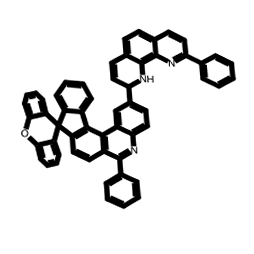 C1=CC(c2ccc3nc(-c4ccccc4)c4ccc5c(c4c3c2)-c2ccccc2C52c3ccccc3Oc3ccccc32)Nc2c1ccc1ccc(-c3ccccc3)nc21